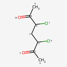 CC(=O)C(Cl)CC(Cl)C(C)=O